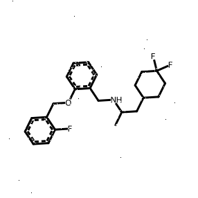 CC(CC1CCC(F)(F)CC1)NCc1ccccc1OCc1ccccc1F